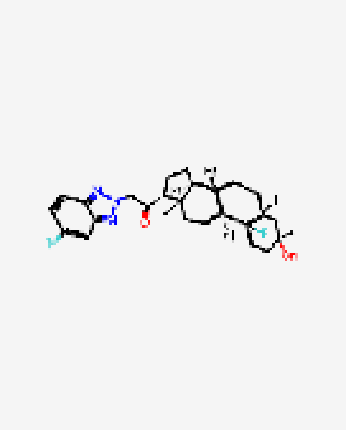 C[C@@]1(O)CC[C@@]2(F)[C@H](CC[C@H]3[C@@H]4CC[C@H](C(=O)Cn5nc6ccc(F)cc6n5)[C@@]4(C)CC[C@@H]32)C1